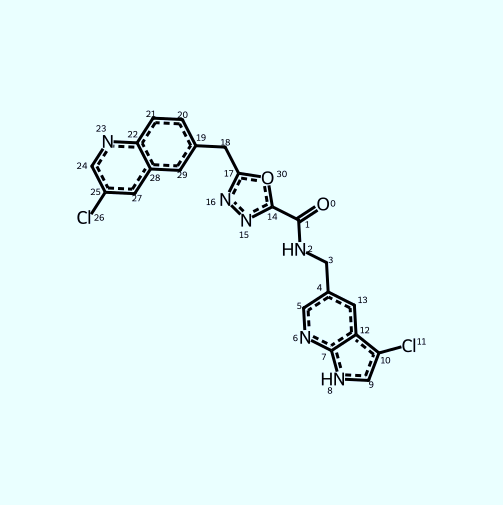 O=C(NCc1cnc2[nH]cc(Cl)c2c1)c1nnc(Cc2ccc3ncc(Cl)cc3c2)o1